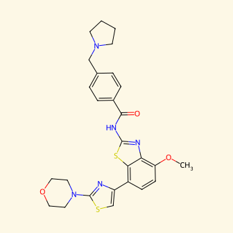 COc1ccc(-c2csc(N3CCOCC3)n2)c2sc(NC(=O)c3ccc(CN4CCCC4)cc3)nc12